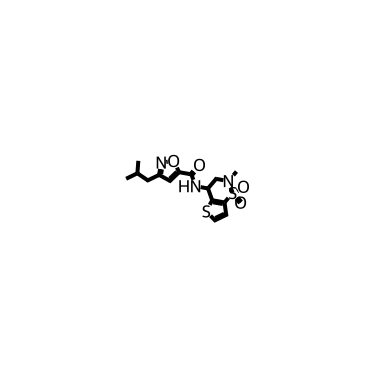 CC(C)Cc1cc(C(=O)NC2CN(C)S(=O)(=O)c3ccsc32)on1